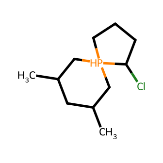 CC1CC(C)C[PH]2(CCCC2Cl)C1